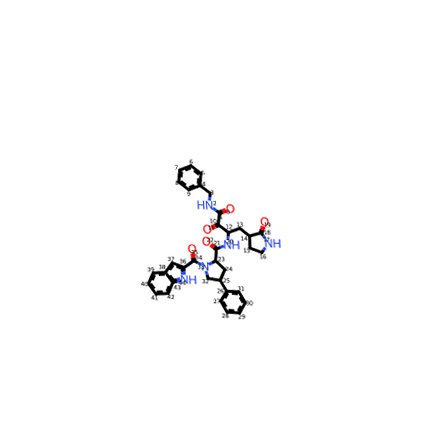 O=C(NCc1ccccc1)C(=O)C(CC1CCNC1=O)NC(=O)C1CC(c2ccccc2)CN1C(=O)c1cc2ccccc2[nH]1